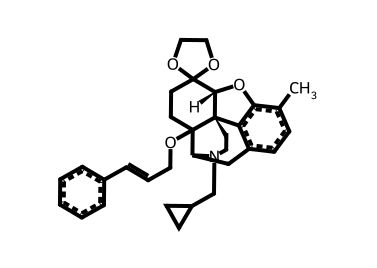 Cc1ccc2c3c1O[C@H]1C4(CCC5(OC/C=C/c6ccccc6)C(C2)N(CC2CC2)CC[C@]315)OCCO4